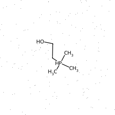 C[PH](C)(C)CCO